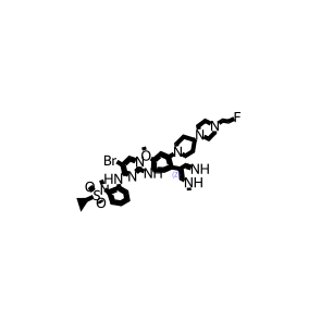 CN/C=C(\C=N)c1cc(Nc2ncc(Br)c(Nc3ccccc3N(C)S(=O)(=O)C3CC3)n2)c(OC)cc1N1CCC(N2CCN(CCF)CC2)CC1